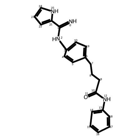 N=C(Nc1ccc(CCCC(=O)Nc2ccccc2)cc1)c1ccc[nH]1